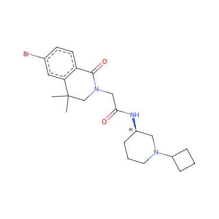 CC1(C)CN(CC(=O)N[C@@H]2CCCN(C3CCC3)C2)C(=O)c2ccc(Br)cc21